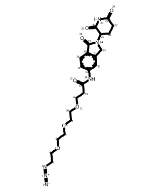 [N-]=[N+]=NCCOCCOCCOCCC(=O)Nc1ccc2c(c1)CN(C1CCC(=O)NC1=O)C2=O